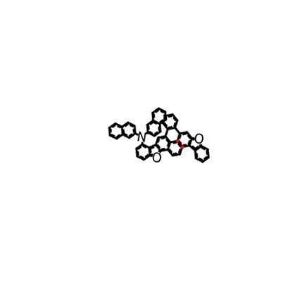 c1ccc(-c2cc3c(oc4cccc(N(c5ccc6ccccc6c5)c5ccc6ccccc6c5)c43)c3ccccc23)c(-c2ccc3c(c2)oc2ccccc23)c1